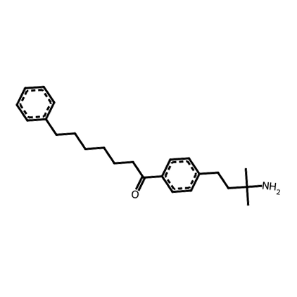 CC(C)(N)CCc1ccc(C(=O)CCCCCCc2ccccc2)cc1